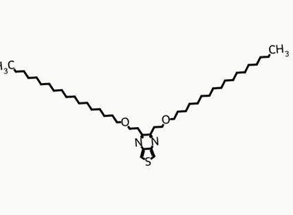 CCCCCCCCCCCCCCCCCCOCCc1nc2cscc2nc1CCOCCCCCCCCCCCCCCCCCC